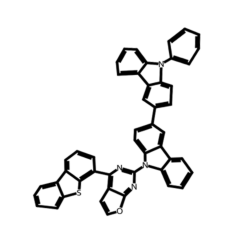 c1ccc(-n2c3ccccc3c3cc(-c4ccc5c(c4)c4ccccc4n5-c4nc(-c5cccc6c5sc5ccccc56)c5ccoc5n4)ccc32)cc1